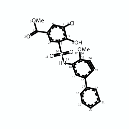 COC(=O)c1cc(Cl)c(O)c(S(=O)(=O)Nc2cc(-c3ccccc3)c#cc2OC)c1